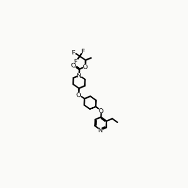 CCc1cnccc1OC1CCC(OC2CCN(C(=O)OC(C)C(F)(F)F)CC2)CC1